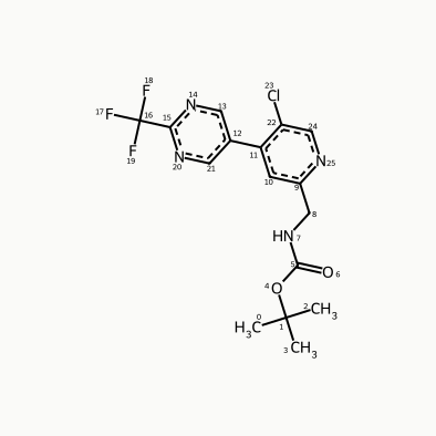 CC(C)(C)OC(=O)NCc1cc(-c2cnc(C(F)(F)F)nc2)c(Cl)cn1